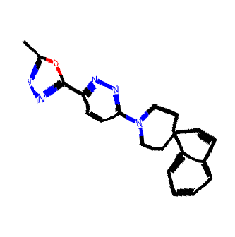 Cc1nnc(-c2ccc(N3CCC4(C=Cc5ccccc54)CC3)nn2)o1